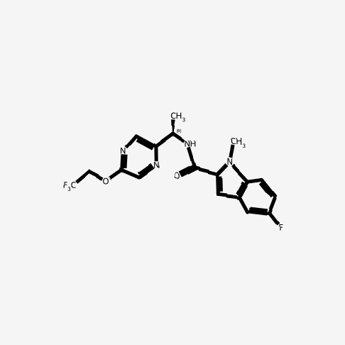 C[C@@H](NC(=O)c1cc2cc(F)ccc2n1C)c1cnc(OCC(F)(F)F)cn1